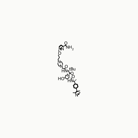 Cc1ncsc1-c1ccc([C@H](C)NC(=O)[C@@H]2C[C@@H](O)CN2C(=O)[C@@H](NC(=O)CN2CCN(CCCOCn3ccc(C(N)=O)n3)CC2)C(C)(C)C)cc1